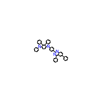 c1ccc(-c2ccc3nc(-c4ccc(-n5c6ccccc6c6c7c8ccccc8n(-c8ccccc8)c7ccc65)cc4)nc(-c4ccccc4)c3c2)cc1